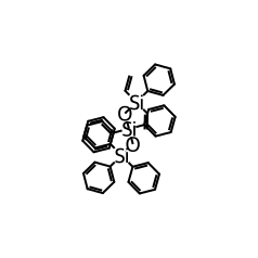 C=C[Si](C=C)(O[Si](O[Si](c1ccccc1)(c1ccccc1)c1ccccc1)(c1ccccc1)c1ccccc1)c1ccccc1